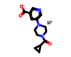 O=C([O-])c1cncc(N2CCN(C(=O)C3CC3)CC2)c1.[Li+]